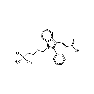 C[Si](C)(C)CCOCn1c(-c2ccccc2)c(C=CC(=O)O)c2cccnc21